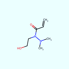 C=CC(=O)N(CCO)N(C)C